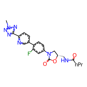 CCCC(=O)NC[C@H]1CN(c2ccc(-c3ccc(-c4nnn(C)n4)nc3)c(F)c2)C(=O)O1